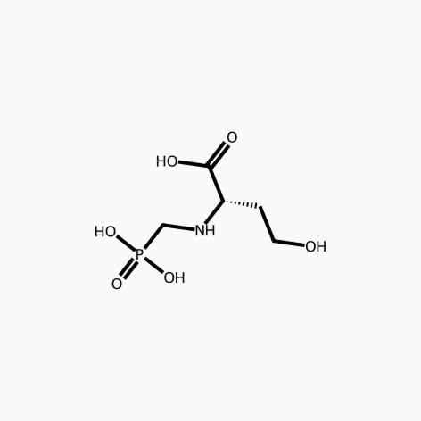 O=C(O)[C@H](CCO)NCP(=O)(O)O